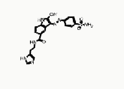 NS(=O)(=O)c1ccc(N=Nc2c(O)[nH]c3ccc(C(=O)NCCc4cnc[nH]4)cc23)cc1